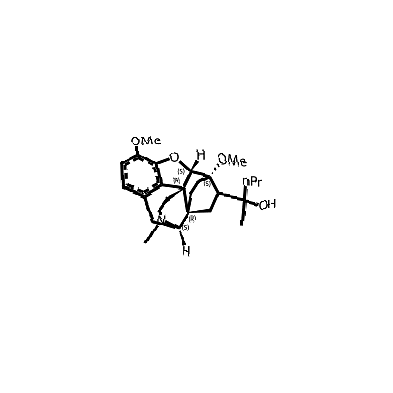 CCCC(C)(O)C1C[C@]23CC[C@@]1(OC)[C@H]1Oc4c(OC)ccc5c4[C@]12CCN(C)[C@H]3C5